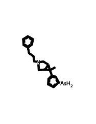 CC1(c2cccc([AsH2])c2)C2CN(CCCc3ccccc3)CC21